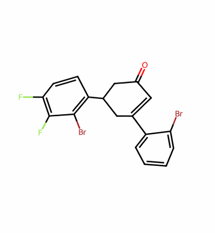 O=C1C=C(c2ccccc2Br)CC(c2ccc(F)c(F)c2Br)C1